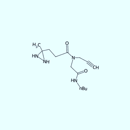 C#CCN(CC(=O)NCCCC)C(=O)CCC1(C)NN1